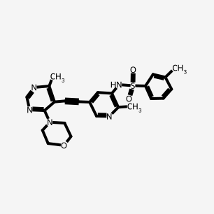 Cc1cccc(S(=O)(=O)Nc2cc(C#Cc3c(C)ncnc3N3CCOCC3)cnc2C)c1